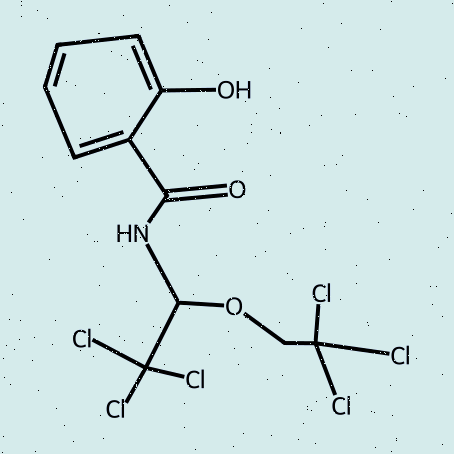 O=C(NC(OCC(Cl)(Cl)Cl)C(Cl)(Cl)Cl)c1ccccc1O